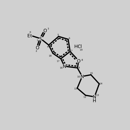 CCS(=O)(=O)c1ccc2oc(N3CCNCC3)nc2c1.Cl